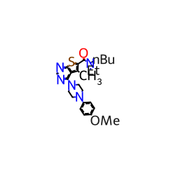 CCCCN(CC)C(=O)c1sc2ncnc(N3CCN(c4ccc(OC)cc4)CC3)c2c1C